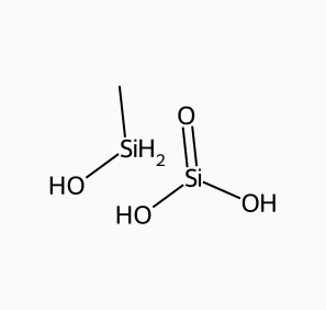 C[SiH2]O.O=[Si](O)O